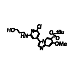 COc1cc2ncc(-c3cc(Cl)nc(NCCCO)c3)n2cc1S(=O)(=O)C(C)(C)C